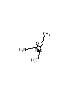 CCCCCCC(CCCCCC)C(=O)[C@@H](N)CCCCN